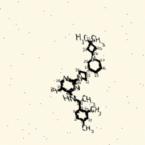 Cc1ccc([C@@H](C)Nc2nc(N3CC([C@H]4CCCN(C5CC(C)(C)C5)C4)C3)ncc2C(C)C)c(C)c1